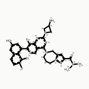 CCc1c(F)ccc2cc(O)cc(-c3ncc4c(N5CCCn6nc(C(=O)N(C)C)cc6C5)nc(N5CC(N)C5)nc4c3F)c12